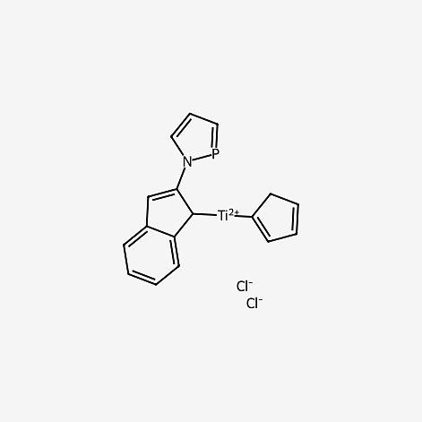 C1=CC[C]([Ti+2][CH]2C(n3cccp3)=Cc3ccccc32)=C1.[Cl-].[Cl-]